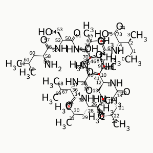 CC[C@H](C)[C@H](NC(=O)[C@@H](NC(=O)[C@H](CC(C)C)NC(=O)[C@H](CC(C)C)NC(=O)[C@H](CC(C)C)NC(=O)[C@@H](NC(=O)[C@H](CC(C)C)NC(=O)[C@@H](NC(=O)[C@H](CO)NC(=O)[C@@H](N)CC(C)C)C(C)C)C(C)C)[C@@H](C)O)C(=O)O